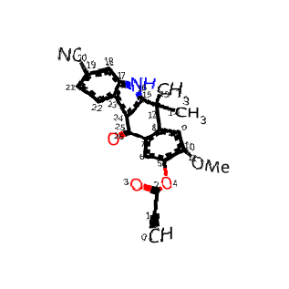 C#CC(=O)Oc1cc2c(cc1OC)C(C)(C)c1[nH]c3cc(C#N)ccc3c1C2=O